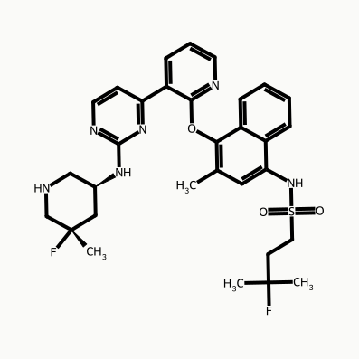 Cc1cc(NS(=O)(=O)CCC(C)(C)F)c2ccccc2c1Oc1ncccc1-c1ccnc(N[C@@H]2CNC[C@@](C)(F)C2)n1